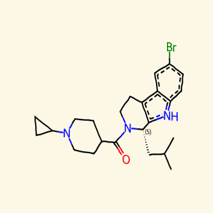 CC(C)C[C@H]1c2[nH]c3ccc(Br)cc3c2CCN1C(=O)C1CCN(C2CC2)CC1